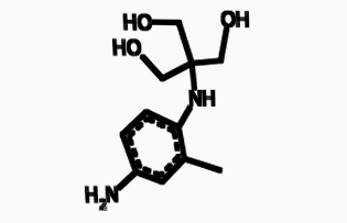 Cc1cc(N)ccc1NC(CO)(CO)CO